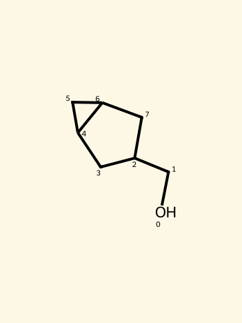 OCC1CC2CC2C1